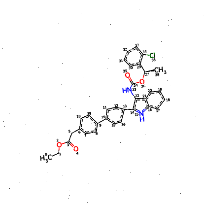 CCOC(=O)Cc1ccc(-c2ccc(-c3[nH]c4ccccc4c3NC(=O)O[C@H](C)c3ccccc3Cl)cc2)cc1